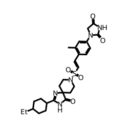 CCC1CCC(C2=NC3(CCN(S(=O)(=O)C=Cc4ccc(N5CC(=O)NC5=O)cc4C)CC3)C(=O)N2)CC1